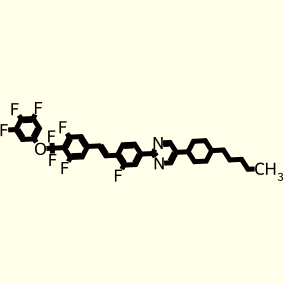 CCCCCC1CCC(c2cnc(-c3ccc(/C=C/c4cc(F)c(C(F)(F)Oc5cc(F)c(F)c(F)c5)c(F)c4)c(F)c3)nc2)CC1